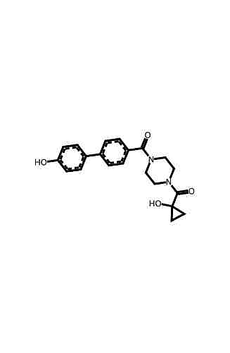 O=C(c1ccc(-c2ccc(O)cc2)cc1)N1CCN(C(=O)C2(O)CC2)CC1